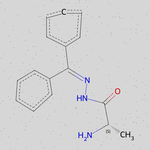 C[C@H](N)C(=O)NN=C(c1ccccc1)c1ccccc1